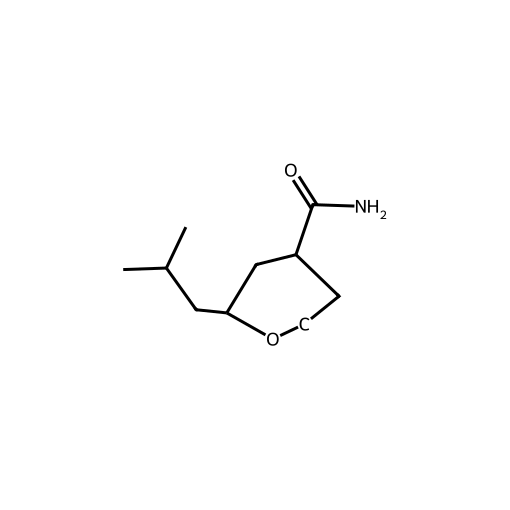 CC(C)CC1CC(C(N)=O)CCO1